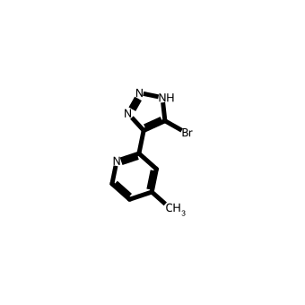 Cc1ccnc(-c2nn[nH]c2Br)c1